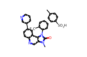 Cc1ccc(S(=O)(=O)O)cc1.Cn1c(=O)n(-c2ccccc2C(F)(F)F)c2c3cc(-c4cccnc4)ccc3ncc21